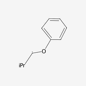 CC(C)[CH]Oc1ccccc1